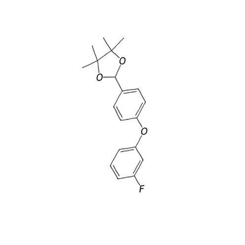 CC1(C)OC(c2ccc(Oc3cccc(F)c3)cc2)OC1(C)C